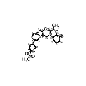 Cc1nc2cnc(-c3ccc(S(C)(=O)=O)nc3)cn2c1CN1C(=O)[C@@H](C)Oc2c(F)cccc21